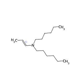 C/C=C/N(CCCCCC)CCCCCC